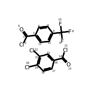 O=C(Cl)c1ccc(C(F)(F)F)cc1.O=C(Cl)c1ccc(Cl)c(Cl)c1